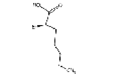 CCCCC[C@@H](Br)C(=O)O